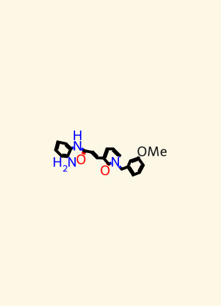 COc1cccc(Cn2cccc(/C=C/C(=O)Nc3ccccc3N)c2=O)c1